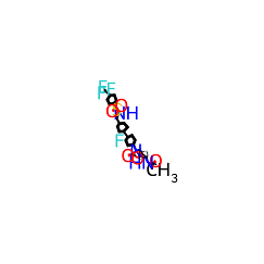 CC(=O)NC[C@H]1CN(c2ccc(-c3ccc(CNS(=O)(=O)c4ccc(C(F)(F)F)cc4)cc3)c(F)c2)C(=O)O1